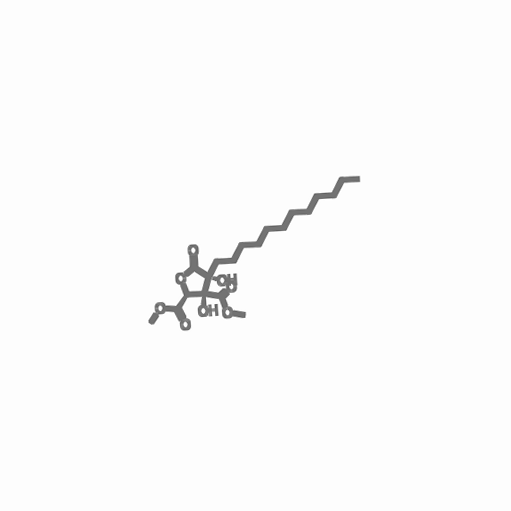 CCCCCCCCCCCC[C@]1(O)C(=O)O[C@H](C(=O)OC)[C@@]1(O)C(=O)OC